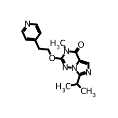 CC(C)c1ncc2c(=O)n(C)c(OCCc3ccncc3)nn12